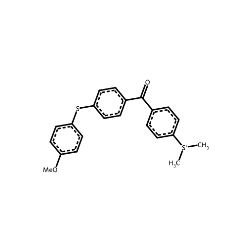 COc1ccc(Sc2ccc(C(=O)c3ccc([S+](C)C)cc3)cc2)cc1